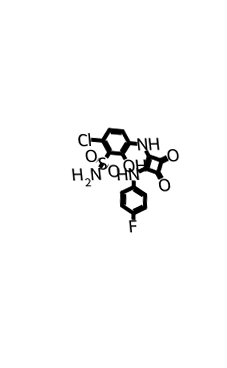 NS(=O)(=O)c1c(Cl)ccc(Nc2c(Nc3ccc(F)cc3)c(=O)c2=O)c1O